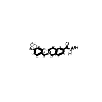 O=C(NO)c1ccc2c(c1)CCN(Cc1ccc(OC(F)(F)F)cc1)C2